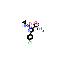 Cc1nocc1-c1cc(-c2ccc(Cl)cc2)nn1C(=O)NC1CC1